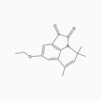 CCOc1cc2c3c(c1)C(C)=CC(C)(C)N3C(=O)C2=O